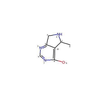 CC1NCc2ncnc([O])c21